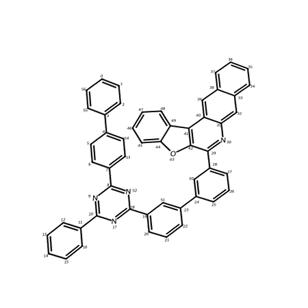 c1ccc(-c2ccc(-c3nc(-c4ccccc4)nc(-c4cccc(-c5cccc(-c6nc7cc8ccccc8cc7c7c6oc6ccccc67)c5)c4)n3)cc2)cc1